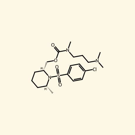 C[C@@H]1CCC[C@H](COC(=O)N(C)CCCN(C)C)N1S(=O)(=O)c1ccc(Cl)cc1